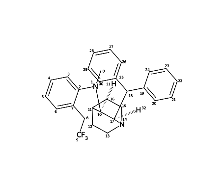 CN(c1ccccc1CC(F)(F)F)[C@@H]1C2CCN(CC2)[C@@H]1C(c1ccccc1)c1ccccc1